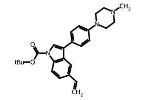 C=Cc1ccc2c(c1)c(-c1ccc(N3CCN(C)CC3)cc1)cn2C(=O)OC(C)(C)C